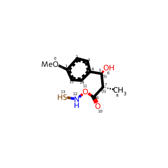 COc1ccc([C@@H](O)[C@H](C)C(=O)ONS)cc1